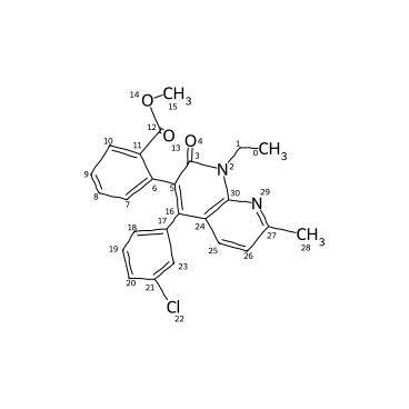 CCn1c(=O)c(-c2ccccc2C(=O)OC)c(-c2cccc(Cl)c2)c2ccc(C)nc21